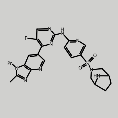 Cc1nc2ncc(-c3nc(Nc4ccc(S(=O)(=O)N5CC6CCC(C5)N6)cn4)ncc3F)cc2n1C(C)C